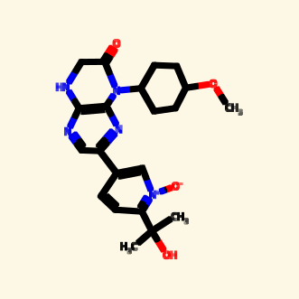 COC1CCC(N2C(=O)CNc3ncc(-c4ccc(C(C)(C)O)[n+]([O-])c4)nc32)CC1